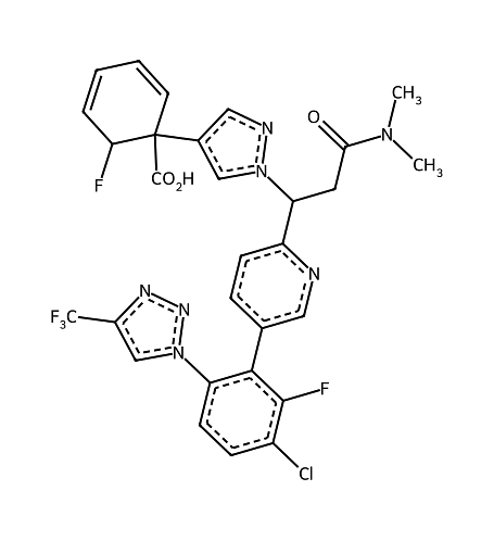 CN(C)C(=O)CC(c1ccc(-c2c(-n3cc(C(F)(F)F)nn3)ccc(Cl)c2F)cn1)n1cc(C2(C(=O)O)C=CC=CC2F)cn1